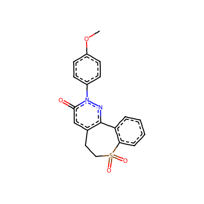 COc1ccc(-n2nc3c(cc2=O)CCS(=O)(=O)c2ccccc2-3)cc1